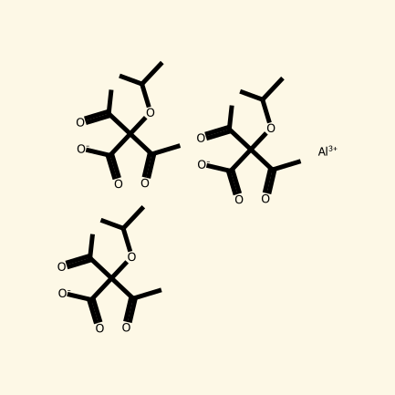 CC(=O)C(OC(C)C)(C(C)=O)C(=O)[O-].CC(=O)C(OC(C)C)(C(C)=O)C(=O)[O-].CC(=O)C(OC(C)C)(C(C)=O)C(=O)[O-].[Al+3]